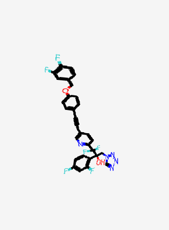 OC(Cn1cnnn1)(c1ccc(F)cc1F)C(F)(F)c1ccc(C#Cc2ccc(OCc3ccc(F)c(F)c3)cc2)cn1